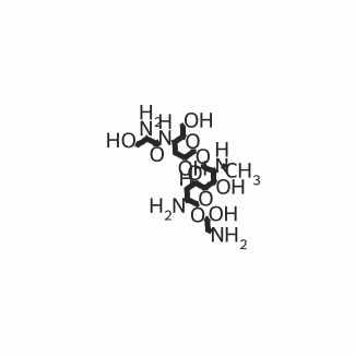 CNC1C(O[C@H]2OC(CO)[C@@H](NC(=O)[C@@H](N)CO)CC2O)O[C@H]2CC(N)[C@@H](OC(O)CN)OC2C1O